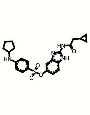 O=C(CC1CC1)Nc1nc2cc(OS(=O)(=O)c3ccc(NC4CCCC4)cc3)ccc2[nH]1